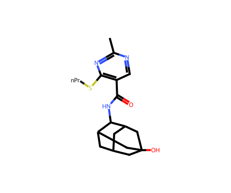 CCCSc1nc(C)ncc1C(=O)NC1C2CC3CC1CC(O)(C3)C2